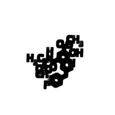 COC(=O)c1cc(C(=O)NC(C)C(=O)OC)c2cc(Cc3ccc(F)cc3)cnc2c1O